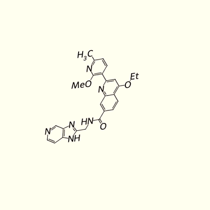 CCOc1cc(-c2ccc(C)nc2OC)nc2cc(C(=O)NCc3nc4cnccc4[nH]3)ccc12